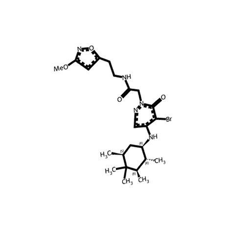 COc1cc(CCNC(=O)Cn2ncc(N[C@@H]3C[C@H](C)C(C)(C)[C@H](C)[C@H]3C)c(Br)c2=O)on1